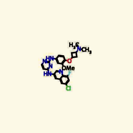 COc1cc(Nc2nccc(Nc3cnc4c(F)cc(Cl)cc4c3)n2)ccc1OC1CC(N(C)C)C1